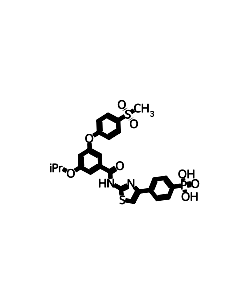 CC(C)Oc1cc(Oc2ccc(S(C)(=O)=O)cc2)cc(C(=O)Nc2nc(-c3ccc(P(=O)(O)O)cc3)cs2)c1